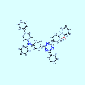 c1ccc(-c2ccc(N(c3ccccc3)c3ccc(-c4nc(-c5ccccc5)nc(-c5ccc6c(c5)oc5ccccc56)n4)cc3)cc2)cc1